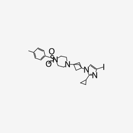 Cc1ccc(S(=O)(=O)N2CCN(C34CC(n5cc(I)nc5C5CC5)(C3)C4)CC2)cc1